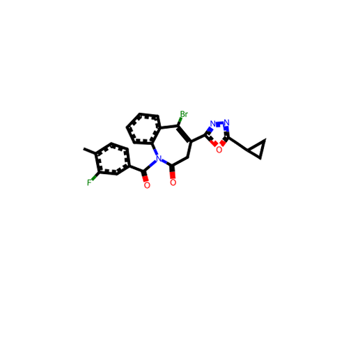 Cc1ccc(C(=O)N2C(=O)CC(c3nnc(C4CC4)o3)=C(Br)c3ccccc32)cc1F